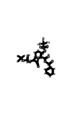 CC(C)(C)OC(=O)NC1C(=O)N2C(C(=O)OC(=O)c3ccccc3)=C(OS(=O)(=O)C(F)(F)F)CCC12